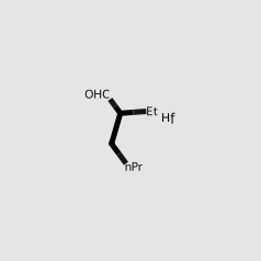 CCCCC(C=O)CC.[Hf]